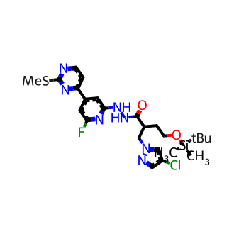 CSc1nccc(-c2cc(F)nc(NNC(=O)C(CCO[Si](C)(C)C(C)(C)C)Cn3cc(Cl)cn3)c2)n1